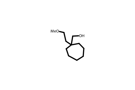 COCCC1(CO)CCCCCC1